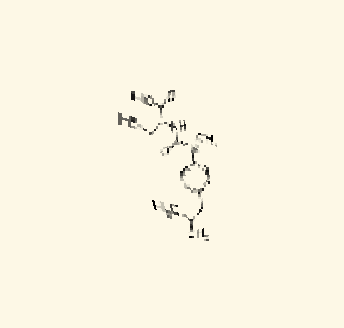 CC(C)Cc1ccc([C@@H](C)C(=O)NC(CS)C(=O)O)cc1